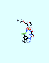 COCC1CN(S(=O)(=O)NC(=O)c2coc(Nc3cc(C(F)(F)F)ccc3C)n2)CCCO1